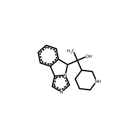 CC(O)(C1CCCNC1)C1c2ccccc2-c2cncn21